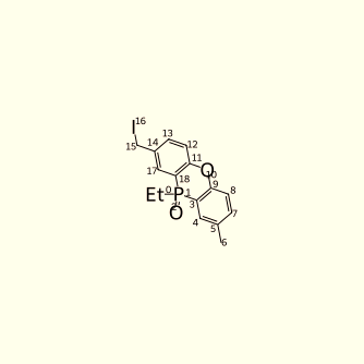 CCP1(=O)c2cc(C)ccc2Oc2ccc(CI)cc21